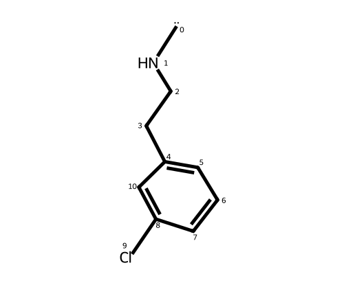 [CH]NCCc1cccc(Cl)c1